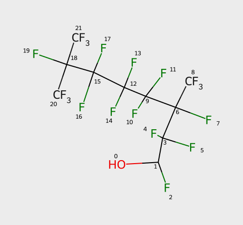 OC(F)C(F)(F)C(F)(C(F)(F)F)C(F)(F)C(F)(F)C(F)(F)C(F)(C(F)(F)F)C(F)(F)F